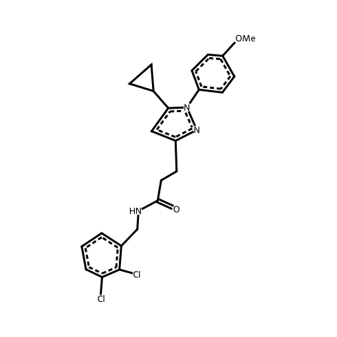 COc1ccc(-n2nc(CCC(=O)NCc3cccc(Cl)c3Cl)cc2C2CC2)cc1